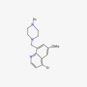 COc1cc(CN2CCN(C(C)=O)CC2)c2nccc(Br)c2c1